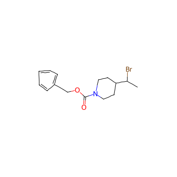 CC(Br)C1CCN(C(=O)OCc2ccccc2)CC1